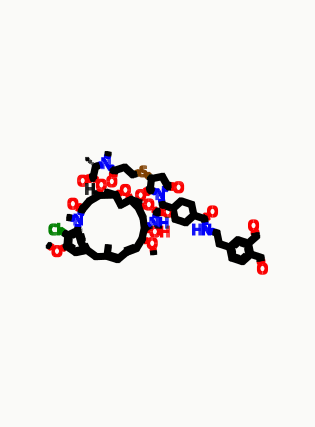 COc1cc2cc(c1Cl)N(C)C(=O)C[C@H](OC(=O)[C@H](C)N(C)C(=O)CCSC1CC(=O)N(CC3CCC(C(=O)NCCc4ccc(C=O)c(C=O)c4)CC3)C1=O)C1(C)CC(C)(O1)C1CC(O)(NC(=O)O1)C(OC)/C=C/C=C(\C)C2